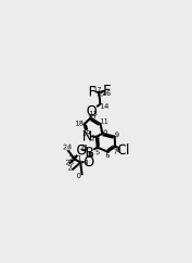 CC1(C)OB(c2cc(Cl)cc3cc(OCC(F)F)cnc23)OC1(C)C